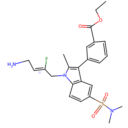 CCOC(=O)c1cccc(-c2c(C)n(C/C(F)=C/CN)c3ccc(S(=O)(=O)N(C)C)cc23)c1